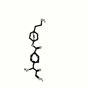 C=CC(=O)C(C)c1ccc(C(=O)OC23CCC(CCC)(CC2)CC3)cc1